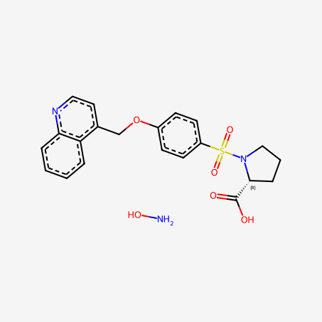 NO.O=C(O)[C@H]1CCCN1S(=O)(=O)c1ccc(OCc2ccnc3ccccc23)cc1